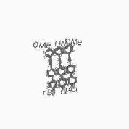 CCCCc1ccc(C2CC=C(C#Cc3ccc(OC)cc3)CC2)cc1.CCCc1ccc(C2CC=C(C#Cc3ccc(OC)cc3)CC2)cc1.CCc1ccc(C2CC=C(C#Cc3ccc(OC)cc3)CC2)cc1